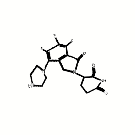 O=C1CCC(N2Cc3c(c(F)c(F)c(F)c3N3CCNCC3)C2=O)C(=O)N1